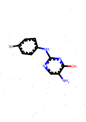 CCc1ccc(Nc2ncc(N)c(O)n2)cc1